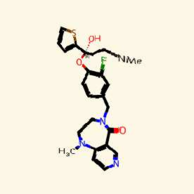 CNCC[C@@](O)(Oc1ccc(CN2CCN(C)c3ccncc3C2=O)cc1F)c1cccs1